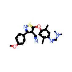 COc1ccc(-c2nsc(Oc3cc(C)c(/N=C\N(C)C)cc3C)c2C#N)cc1